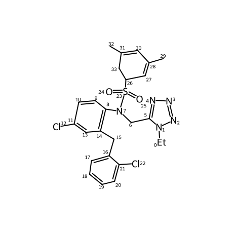 CCn1nnnc1CN(c1ccc(Cl)cc1Cc1ccccc1Cl)S(=O)(=O)C1C=C(C)C=C(C)C1